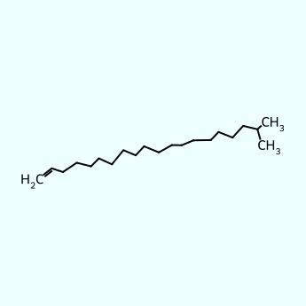 C=CCCCCCCCCCCCCCCCCC(C)C